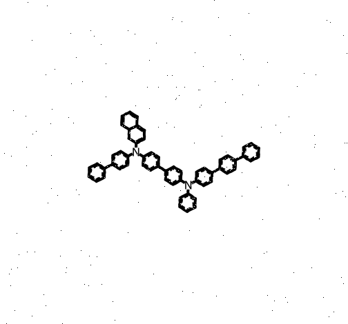 C1=CC2=CC=C(N(c3ccc(-c4ccccc4)cc3)c3ccc(-c4ccc(N(c5ccccc5)c5ccc(-c6ccc(-c7ccccc7)cc6)cc5)cc4)cc3)CC2C=C1